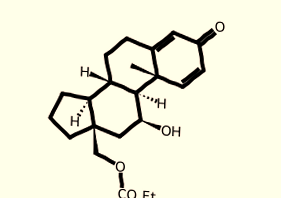 CCOC(=O)OC[C@@]12CCC[C@H]1[C@@H]1CCC3=CC(=O)C=C[C@]3(C)[C@H]1[C@@H](O)C2